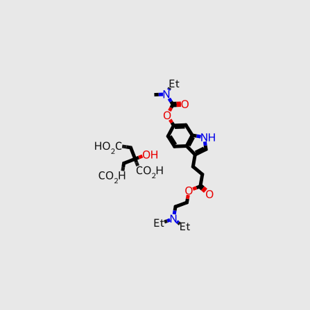 CCN(CC)CCOC(=O)CCc1c[nH]c2cc(OC(=O)N(C)CC)ccc12.O=C(O)CC(O)(CC(=O)O)C(=O)O